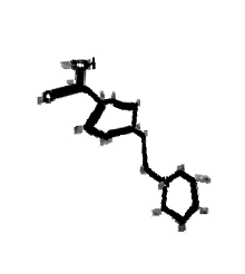 O=C(O)c1ccc(CCN2CCCCC2)cc1